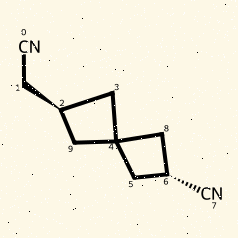 N#CC[C@H]1CC2(C[C@@H](C#N)C2)C1